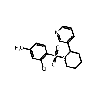 O=S(=O)(c1ccc(C(F)(F)F)cc1Cl)N1CCCCC1c1cccnc1